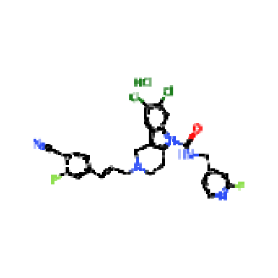 Cl.N#Cc1ccc(/C=C/CN2CCc3c(c4cc(Cl)c(Cl)cc4n3C(=O)NCc3ccnc(F)c3)C2)cc1F